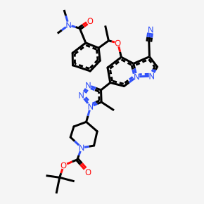 Cc1c(-c2cc(OC(C)c3ccccc3C(=O)N(C)C)c3c(C#N)cnn3c2)nnn1C1CCN(C(=O)OC(C)(C)C)CC1